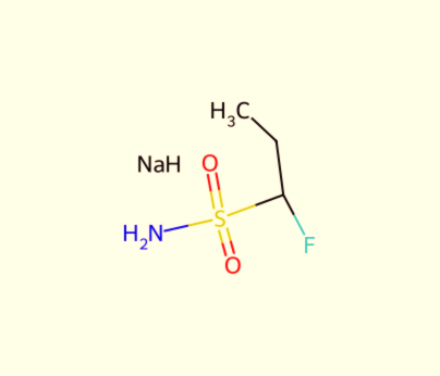 CCC(F)S(N)(=O)=O.[NaH]